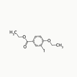 CCOC(=O)c1ccc(OCC)c(I)c1